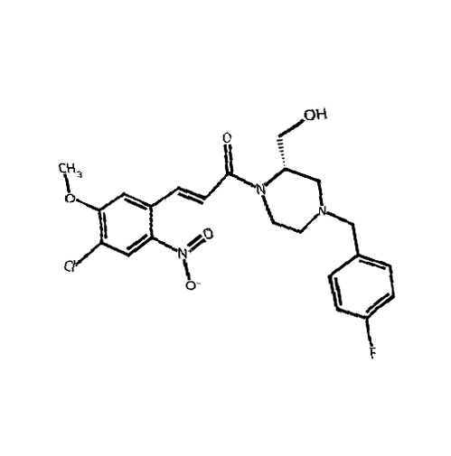 COc1cc(/C=C/C(=O)N2CCN(Cc3ccc(F)cc3)C[C@H]2CO)c([N+](=O)[O-])cc1Cl